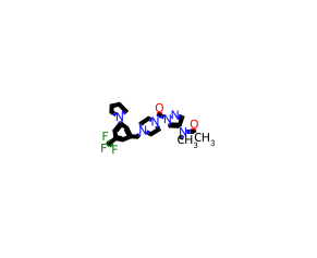 CC(=O)N(C)c1cnn(C(=O)N2CCN(Cc3cc(N4CCCC4)cc(C(F)(F)F)c3)CC2)c1